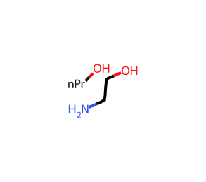 CCCO.NCCO